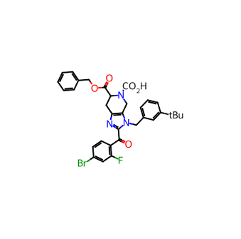 CC(C)(C)c1cccc(Cn2c(C(=O)c3ccc(Br)cc3F)nc3c2CN(C(=O)O)C(C(=O)OCc2ccccc2)C3)c1